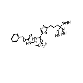 N=NC(CCCc1nnc(C(=O)N[C@H](CC(=O)O)NC(=O)OCc2ccccc2)s1)(N=N)N=N